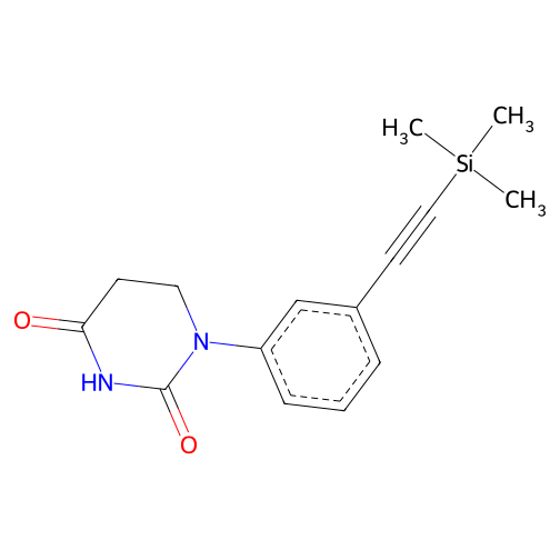 C[Si](C)(C)C#Cc1cccc(N2CCC(=O)NC2=O)c1